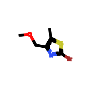 COCc1nc(Br)sc1C